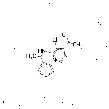 CC(Cl)c1ncnc(NC(C)c2ccccc2)c1Cl